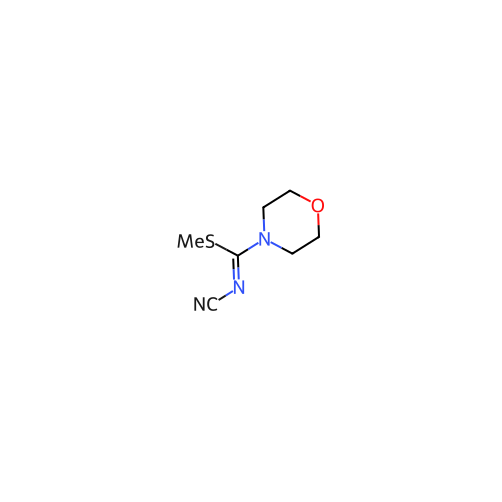 CSC(=NC#N)N1CCOCC1